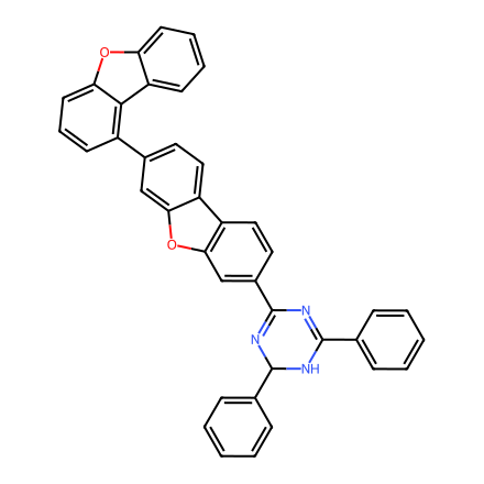 c1ccc(C2=NC(c3ccc4c(c3)oc3cc(-c5cccc6oc7ccccc7c56)ccc34)=NC(c3ccccc3)N2)cc1